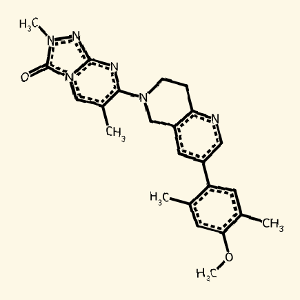 COc1cc(C)c(-c2cnc3c(c2)CN(c2nc4nn(C)c(=O)n4cc2C)CC3)cc1C